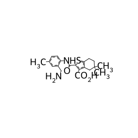 Cc1ccc(NC(=O)c2sc3c(c2C(=O)O)CC(C)(C)CC3)c(CN)c1